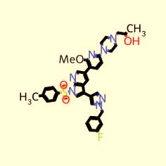 COc1nc(N2CCN(CC(C)O)CC2)ccc1-c1cnc2c(c1)c(-c1cnn(Cc3cccc(F)c3)c1)cn2S(=O)(=O)c1ccc(C)cc1